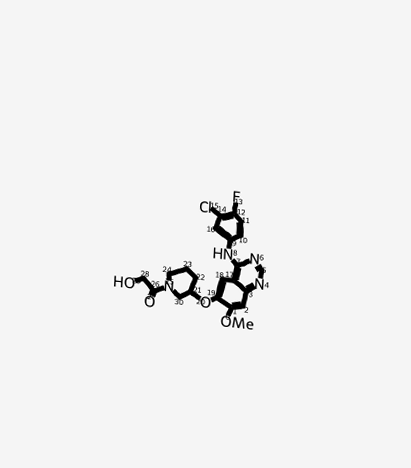 COc1cc2ncnc(Nc3ccc(F)c(Cl)c3)c2cc1OC1CCCN(C(=O)CO)C1